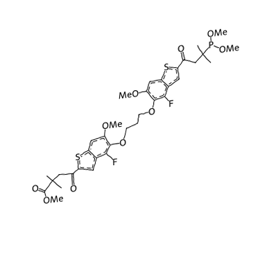 COC(=O)C(C)(C)CC(=O)c1cc2c(F)c(OCCCOc3c(OC)cc4sc(C(=O)CC(C)(C)P(OC)OC)cc4c3F)c(OC)cc2s1